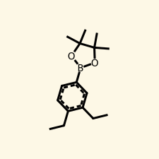 CCc1ccc(B2OC(C)(C)C(C)(C)O2)cc1CC